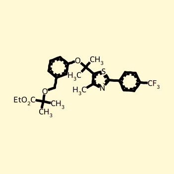 CCOC(=O)C(C)(C)OCc1cccc(OC(C)(C)c2sc(-c3ccc(C(F)(F)F)cc3)nc2C)c1